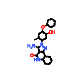 Cc1cc(Oc2ccccc2)c(O)cc1-n1nc2c(c1N)c(=O)[nH]c1ccccc12